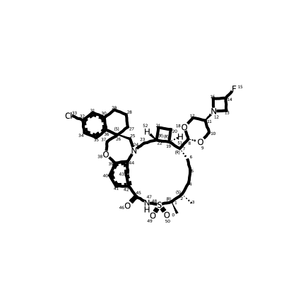 C[C@@H]1[C@@H](C)CCC[C@@H]([C@H]2OC[C@H](N3CC(F)C3)CO2)[C@@H]2CC[C@H]2CN2C[C@@]3(CCCc4cc(Cl)ccc43)COc3ccc(cc32)C(=O)NS1(=O)=O